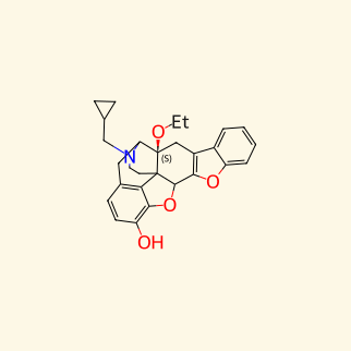 CCO[C@@]12Cc3c(oc4ccccc34)C3Oc4c(O)ccc5c4C31CCN(CC1CC1)C2C5